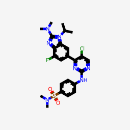 CC(C)n1c(N(C)C)nc2c(F)cc(-c3nc(Nc4ccc(S(=O)(=O)N(C)C)cc4)ncc3Cl)cc21